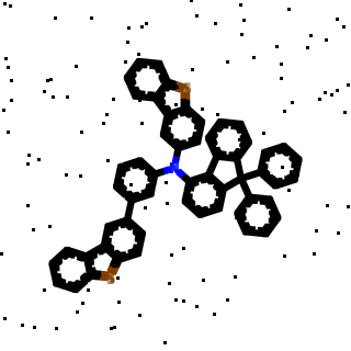 c1ccc(C2(c3ccccc3)c3ccccc3-c3c(N(c4cccc(-c5ccc6sc7ccccc7c6c5)c4)c4ccc5sc6ccccc6c5c4)cccc32)cc1